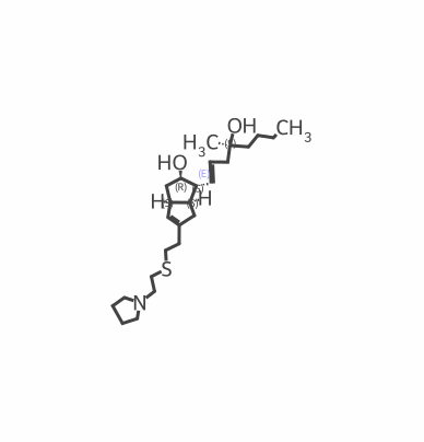 CCCC[C@](C)(O)C/C=C/[C@@H]1[C@H]2CC(CCSCCN3CCCC3)=C[C@H]2C[C@H]1O